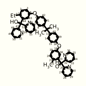 CCc1ccc(Oc2ccc(C(C)(C)c3ccc(Oc4ccc(C)c(C(O)(c5ccccn5)c5ccccn5)c4)cc3)cc2)cc1C(O)(c1ccccn1)c1ccccn1